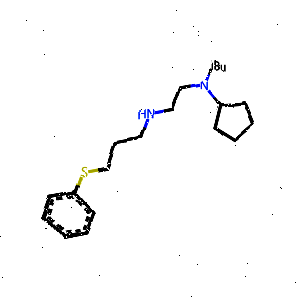 CCC(C)N(CCNCCCSc1ccccc1)C1CCCC1